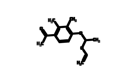 C=COC(C)Oc1ccc(C(C)=O)c(C)c1C